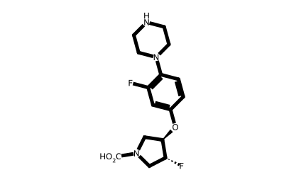 O=C(O)N1C[C@@H](F)[C@H](Oc2ccc(N3CCNCC3)c(F)c2)C1